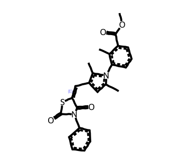 COC(=O)c1cccc(-n2c(C)cc(/C=C3/SC(=O)N(c4ccccc4)C3=O)c2C)c1C